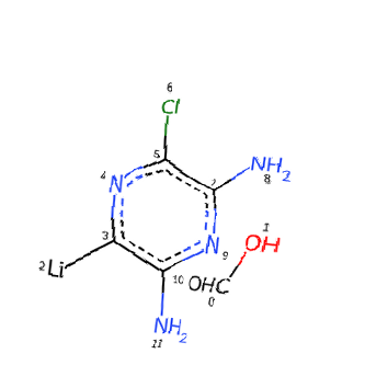 O=CO.[Li][c]1nc(Cl)c(N)nc1N